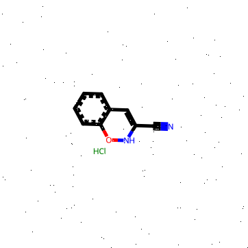 Cl.N#CC1=Cc2ccccc2ON1